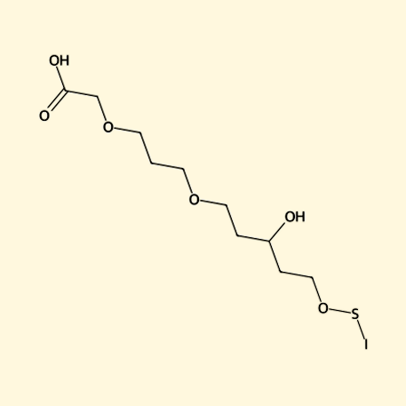 O=C(O)COCCCOCCC(O)CCOSI